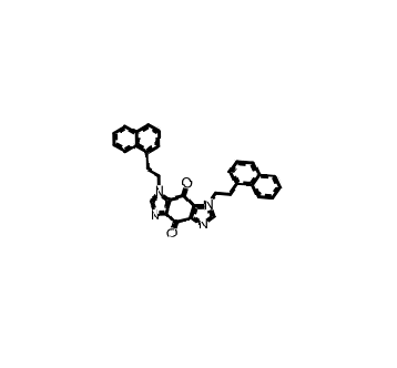 O=C1c2ncn(CCc3cccc4ccccc34)c2C(=O)c2c1ncn2CCc1cccc2ccccc12